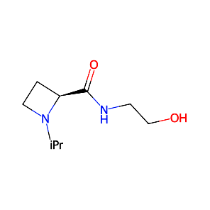 CC(C)N1CC[C@H]1C(=O)NCCO